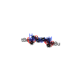 CC(C)(C)OC(=O)N[C@H](C(=O)N1CCCC1C(=O)Nc1ccc2[nH]c(-c3ccc(NC(=O)[C@@H]4CCCN4C(=O)[C@@H](NC(=O)OC(C)(C)C)c4ccccc4)cc3)nc2c1)c1ccccc1